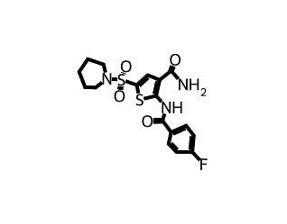 NC(=O)c1cc(S(=O)(=O)N2CCCCC2)sc1NC(=O)c1ccc(F)cc1